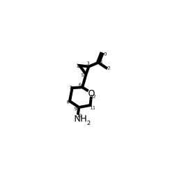 C=C(C)C1CC1C1CCC(N)CO1